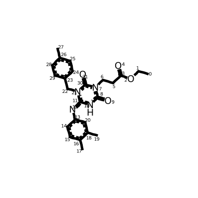 CCOC(=O)CCn1c(=O)[nH]/c(=N\c2ccc(C)c(C)c2)n(Cc2ccc(C)cc2)c1=O